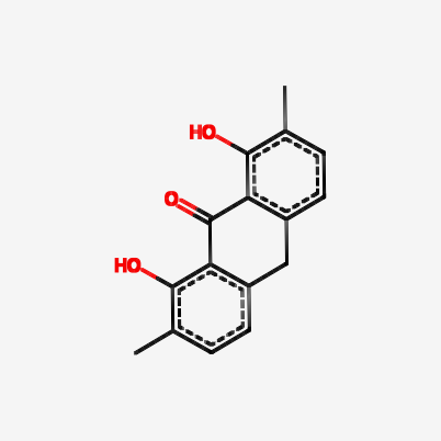 Cc1ccc2c(c1O)C(=O)c1c(ccc(C)c1O)C2